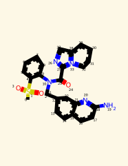 CS(=O)(=O)c1ccccc1N(Cc1ccc2ccc(N)nc2c1)C(=O)c1ncc2ccccn12